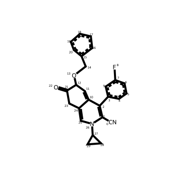 N#CC1=C(c2cccc(F)c2)C2=CC(OCc3ccccc3)C(=O)CC2=CN1C1CC1